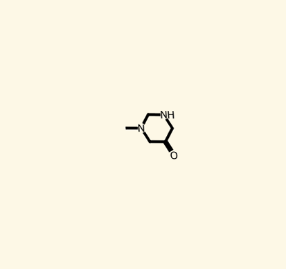 CN1CNCC(=O)C1